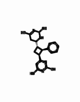 OC1=NC(O)NC([C@H]2C[C@H](c3cc(O)nc(O)n3)[C@@H]2c2ccccc2)C1